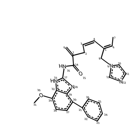 C=C(C/C=C\C(=C/C)Cn1ccnc1)C(=O)Nc1nc2c(-c3ccccc3)ccc(OC)c2[nH]1